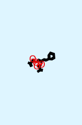 C=C(C)C(=O)OCC(C=Cc1ccccc1)OC(=O)C(=C)C